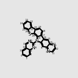 c1ccc2nc(-n3c4cc5nccnc5cc4c4ccc5c6ccccc6sc5c43)ncc2c1